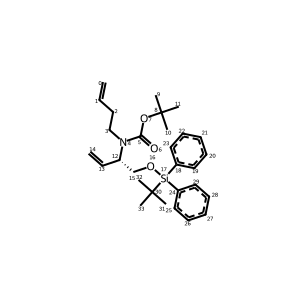 C=CCCN(C(=O)OC(C)(C)C)[C@@H](C=C)CO[Si](c1ccccc1)(c1ccccc1)C(C)(C)C